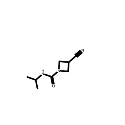 CC(C)NC(=O)N1CC(C#N)C1